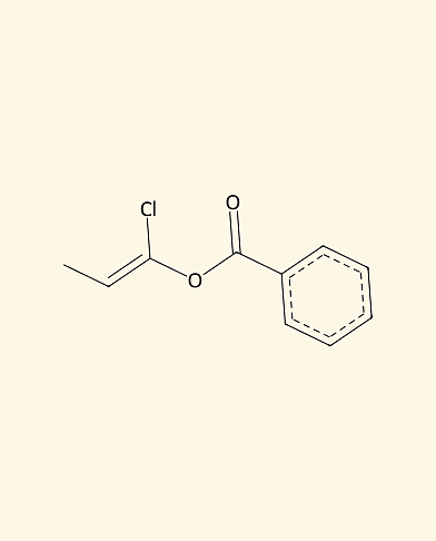 CC=C(Cl)OC(=O)c1ccccc1